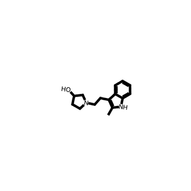 Cc1[nH]c2ccccc2c1CCN1CCC(O)C1